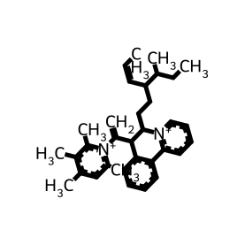 C=C(C1c2ccccc2-c2cccc[n+]2C1CCC(/C=C\C)C(C)CC)[n+]1c(C)cc(C)c(C)c1C